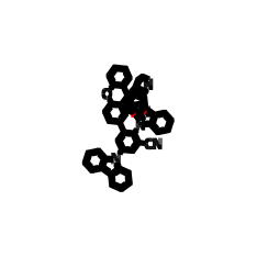 N#Cc1cc(-n2c3ccccc3c3ccccc32)cc(-c2ccc3c(c2)C2(c4ccccc4O3)c3cccnc3-c3ncccc32)c1-n1c2ccccc2c2ccccc21